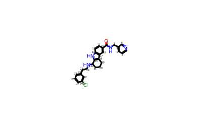 O=C(NCc1cccnc1)c1ccc2[nH]c3c(c2c1)CCCC3NCCc1cccc(Cl)c1